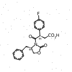 O=C(O)C[C@@H](C(=O)N1C(=O)OC[C@H]1Cc1ccccc1)c1ccc(F)cc1